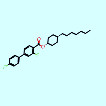 CCCCCCC[C@H]1CC[C@H](OC(=O)c2ccc(-c3ccc(F)cc3)cc2F)CC1